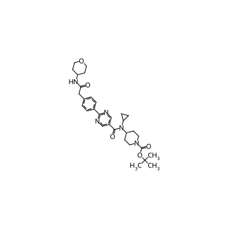 CC(C)(C)OC(=O)N1CCC(N(C(=O)c2cnc(-c3ccc(CC(=O)NC4CCOCC4)cc3)nc2)C2CC2)CC1